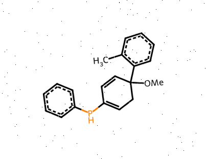 COC1(c2ccccc2C)C=CC(Pc2ccccc2)=CC1